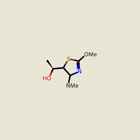 CNC1N=C(OC)SC1[C@H](C)O